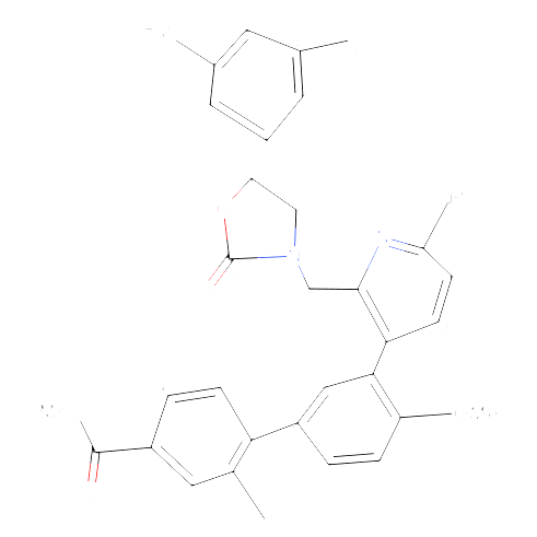 COC(=O)c1ccc(-c2ccc(OC)c(-c3ccc(C(C)C)nc3CN3C(=O)O[C@H](c4cc(C)cc(C(F)(F)F)c4)[C@@H]3C)c2)c(C)c1